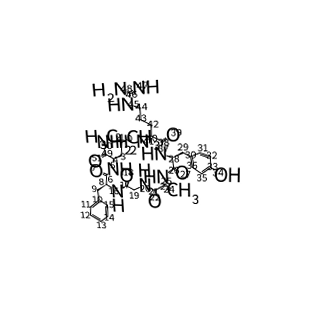 CC(C)C[C@@H](NC(=O)[C@H](Cc1ccccc1)NC(=O)CNC(=O)[C@@H](C)NC(=O)[C@H](Cc1ccc(O)cc1)NC(=O)[C@@H](N)CCCNC(=N)N)C(N)=O